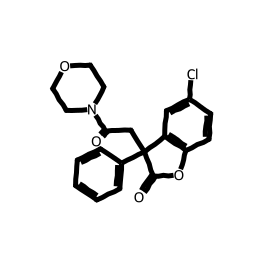 O=C(CC1(c2ccccc2)C(=O)Oc2ccc(Cl)cc21)N1CCOCC1